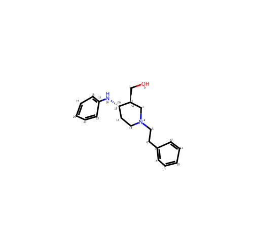 OC[C@H]1CN(CCc2ccccc2)CC[C@@H]1Nc1ccccc1